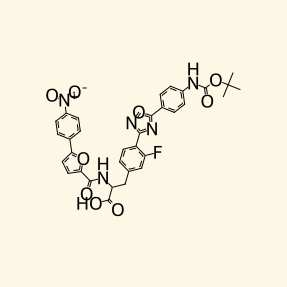 CC(C)(C)OC(=O)Nc1ccc(-c2nc(-c3ccc(CC(NC(=O)c4ccc(-c5ccc([N+](=O)[O-])cc5)o4)C(=O)O)cc3F)no2)cc1